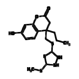 CCCC1(CSC2NNC(SC)S2)CC(=O)Oc2cc(O)ccc21